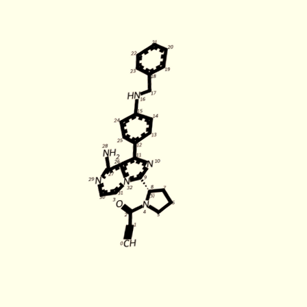 C#CC(=O)N1CCC[C@H]1c1nc(-c2ccc(NCc3ccccc3)cc2)c2c(N)nccn12